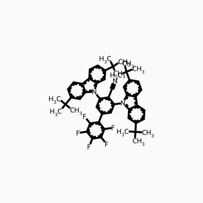 CC(C)(C)c1ccc2c3ccc(C(C)(C)C)cc3n(-c3cc(-c4c(F)c(F)c(F)c(F)c4F)cc(-n4c5cc(C(C)(C)C)ccc5c5ccc(C(C)(C)C)cc54)c3C#N)c2c1